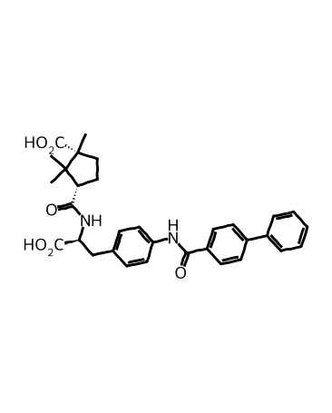 CC1(C)[C@@H](C(=O)N[C@@H](Cc2ccc(NC(=O)c3ccc(-c4ccccc4)cc3)cc2)C(=O)O)CC[C@@]1(C)C(=O)O